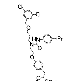 CCOC(Cc1ccc(OCCN(CCCOCc2cc(Cl)cc(Cl)c2)C(=O)Nc2ccc(C(C)C)cc2)cc1)C(=O)O